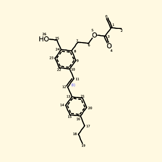 C=C(C)C(=O)OCCc1cc(/C=C/c2ccc(CCC)cc2)ccc1CO